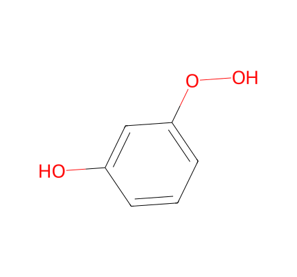 OOc1cccc(O)c1